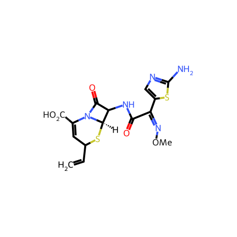 C=CC1C=C(C(=O)O)N2C(=O)C(NC(=O)/C(=N\OC)c3cnc(N)s3)[C@H]2S1